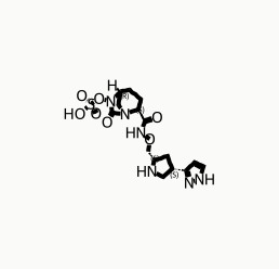 O=C(NOC[C@@H]1C[C@H](c2cc[nH]n2)CN1)[C@@H]1CC[C@@H]2CN1C(=O)N2OS(=O)(=O)O